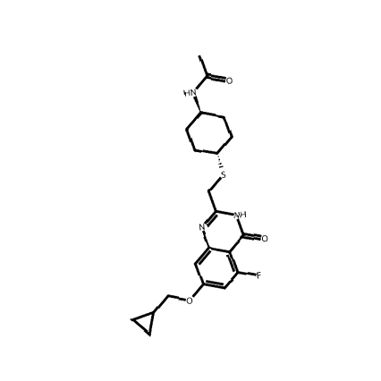 CC(=O)N[C@H]1CC[C@H](SCc2nc3cc(OCC4CC4)cc(F)c3c(=O)[nH]2)CC1